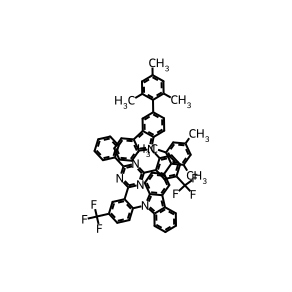 Cc1cc(C)c(-c2ccc3c(c2)c2ccccc2n3-c2ccc(C(F)(F)F)cc2-c2nc(-c3ccccc3)nc(-c3cc(C(F)(F)F)ccc3-n3c4ccccc4c4cc(-c5c(C)cc(C)cc5C)ccc43)n2)c(C)c1